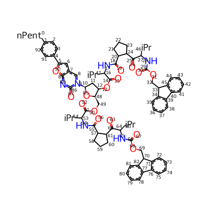 CCCCCc1ccc(-c2cc3cn([C@H]4CC(OC(=O)C(NC(=O)C5CCCC5C(=O)C(NC(=O)OCC5c6ccccc6-c6ccccc65)C(C)C)C(C)C)[C@@H](COC(=O)C(NC(=O)C5CCCC5C(=O)C(NC(=O)OCC5c6ccccc6-c6ccccc65)C(C)C)C(C)C)O4)c(=O)nc3o2)cc1